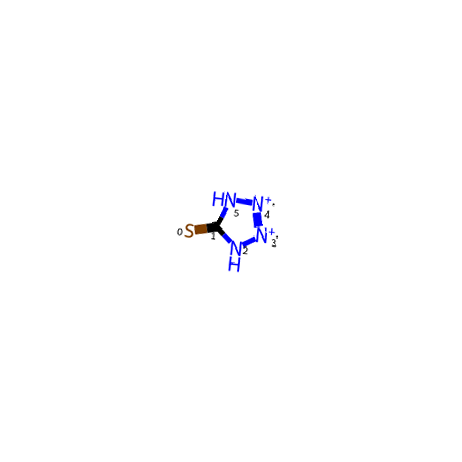 S=C1N[N+]=[N+]N1